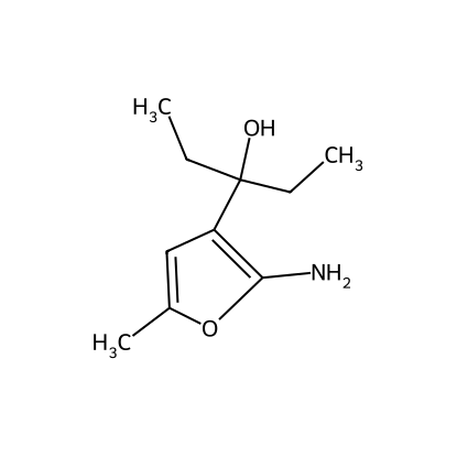 CCC(O)(CC)c1cc(C)oc1N